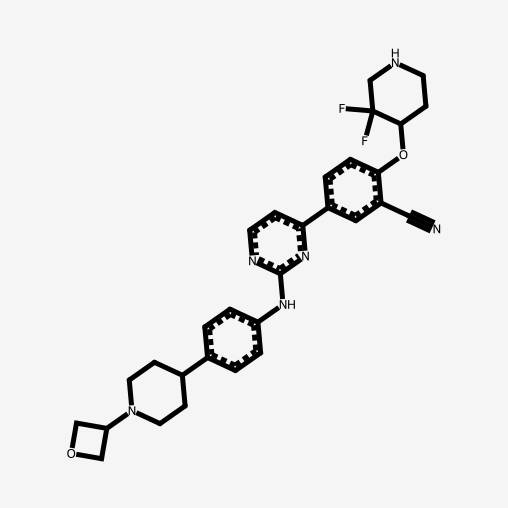 N#Cc1cc(-c2ccnc(Nc3ccc(C4CCN(C5COC5)CC4)cc3)n2)ccc1OC1CCNCC1(F)F